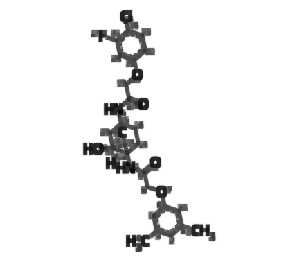 Cc1cc(C)cc(OCC(=O)NC23CCC(NC(=O)COc4ccc(Cl)c(F)c4)(CC2)C[C@@H]3O)c1